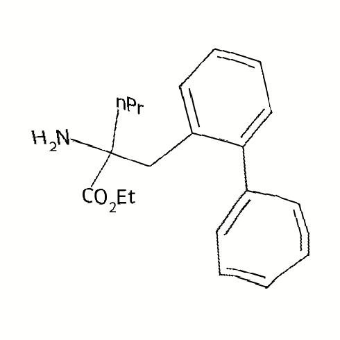 CCCC(N)(Cc1ccccc1-c1ccccc1)C(=O)OCC